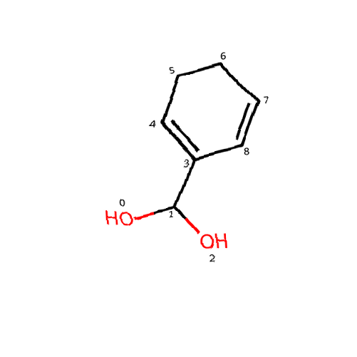 OC(O)C1=CCCC=C1